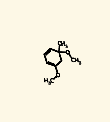 COC1=CC=CC(C)(OC)C1